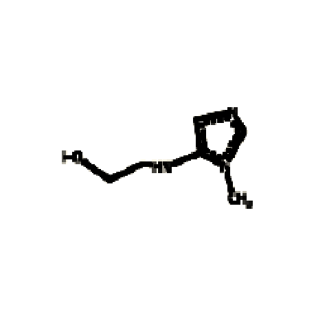 Cn1cncc1NCCO